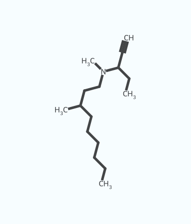 C#CC(CC)N(C)CCC(C)CCCCCC